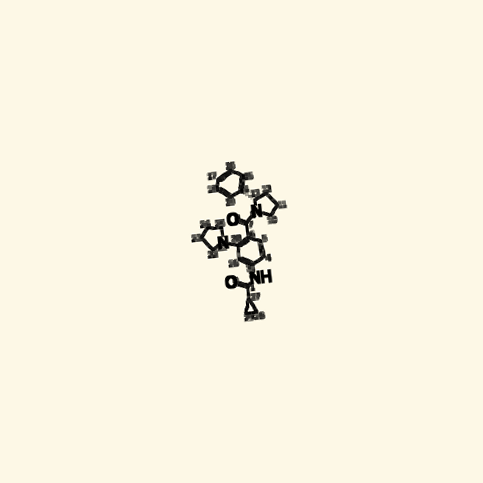 O=C(Nc1ccc(C(=O)N2CCC[C@H]2c2ccccc2)c(N2CCCC2)c1)C1CC1